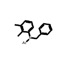 CC(=O)N(Cc1ccccc1)c1cccc(C)c1C